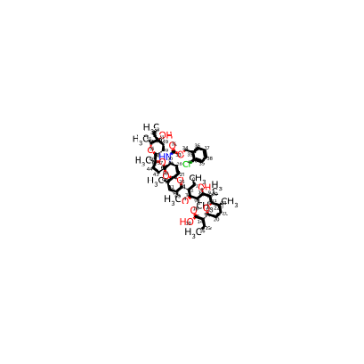 CCC(C(=O)[C@@H](C)[C@@H](O)[C@H](C)[C@@H]1O[C@@H](C(CC)C(=O)O)CC[C@@H]1C)[C@H]1O[C@]2(C=C[C@@H](NC(=O)OCc3ccccc3Cl)[C@]3(CC[C@@](C)([C@H]4CC[C@](O)(CC)[C@H](C)O4)O3)O2)[C@H](C)C[C@@H]1C